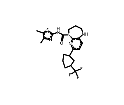 Cc1nc(NC(=O)N2CCCNc3ccc(C4CCCC(C(F)(F)F)C4)nc32)sc1C